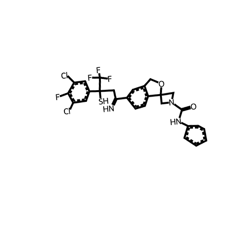 N=C(CC(S)(c1cc(Cl)c(F)c(Cl)c1)C(F)(F)F)c1ccc2c(c1)COC21CN(C(=O)Nc2ccccc2)C1